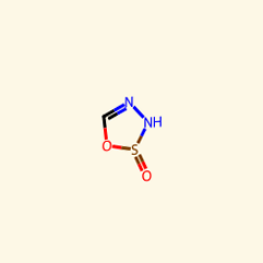 O=S1NN=CO1